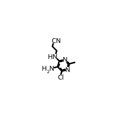 Cc1nc(Cl)c(N)c(NCCC#N)n1